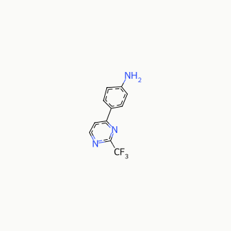 Nc1ccc(-c2ccnc(C(F)(F)F)n2)cc1